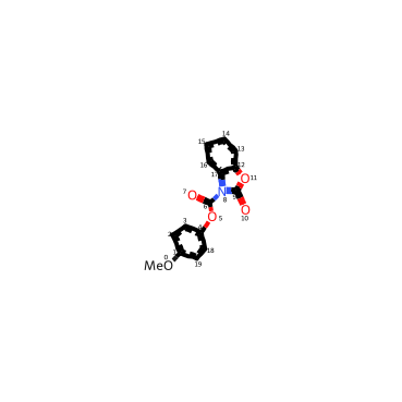 COc1ccc(OC(=O)n2c(=O)oc3ccccc32)cc1